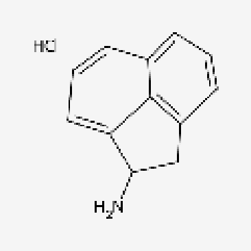 Cl.NC1Cc2cccc3cccc1c23